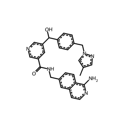 Cc1cnn(Cc2ccc(C(O)c3cncc(C(=O)NCc4ccc5c(N)nccc5c4)c3)cc2)c1